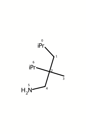 CC(C)CC(C)(CN)C(C)C